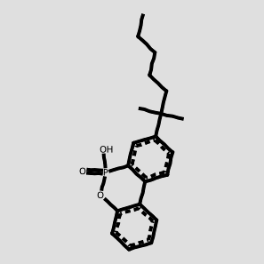 CCCCCC(C)(C)c1ccc2c(c1)P(=O)(O)Oc1ccccc1-2